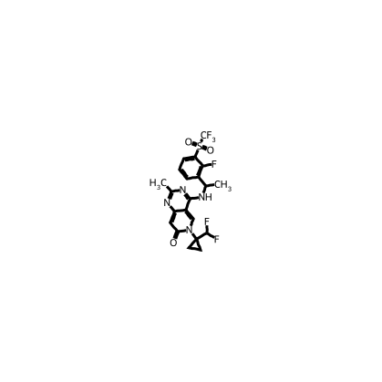 Cc1nc(NC(C)c2cccc(S(=O)(=O)C(F)(F)F)c2F)c2cn(C3(C(F)F)CC3)c(=O)cc2n1